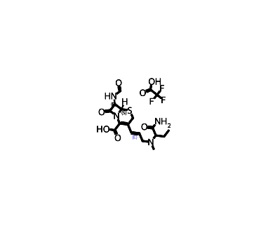 CCC(C(N)=O)N(C)C/C=C/C1=C(C(=O)O)N2C(=O)[C@@H](NC=O)[C@@H]2SC1.O=C(O)C(F)(F)F